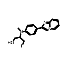 CN(c1ccc(-c2cn3ccccc3n2)cc1)C(CO)CF